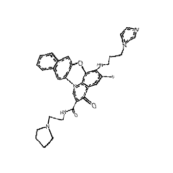 O=C(NCCN1CCCC1)c1cn2c3c(c(NCCCn4ccnc4)c(F)cc3c1=O)Oc1cc3ccccc3cc1-2